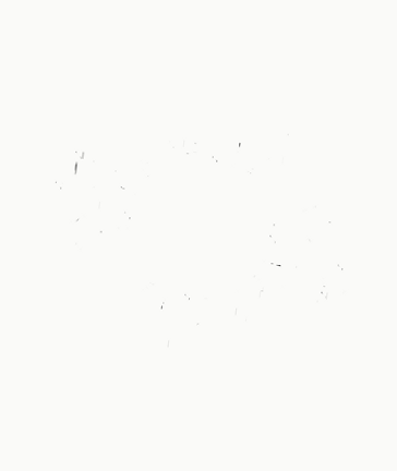 Cc1nccn1Cc1ccc(C[C@H]2OC(=O)[C@H](CC(C)C)N(C)C(=O)[C@@H](C)OC(=O)[C@H](CC(C)C)N(C)C(=O)[C@@H](Cc3ccc(Cn4ccnc4C)cc3)OC(=O)[C@H](CC(C)C)N(C)C(=O)[C@@H](C)OC(=O)[C@H](CC(C)C)N(C)C2=O)cc1